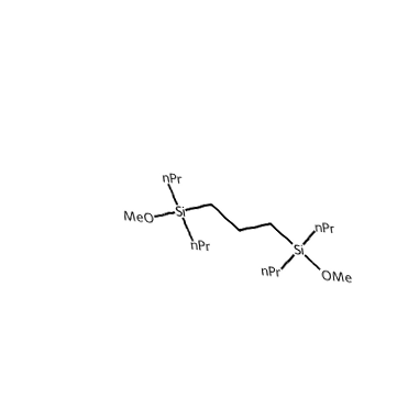 CCC[Si](CCC)(CCC[Si](CCC)(CCC)OC)OC